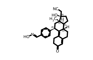 C[C@]12C[C@H](c3ccc(C=NO)cc3)C3=C4CCC(=O)C=C4CC[C@H]3[C@@H]1CC[C@@]2(O)CC#N